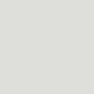 CC1(C)CC(Oc2ccc(B(O)O)cc2C#N)CC(C)(C)C1